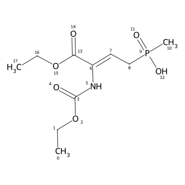 CCOC(=O)N/C(=C\CP(C)(=O)O)C(=O)OCC